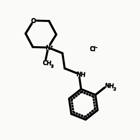 C[N+]1(CCNc2ccccc2N)CCOCC1.[Cl-]